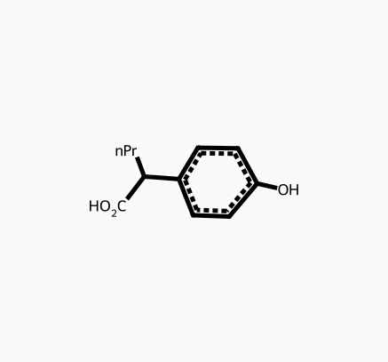 CCCC(C(=O)O)c1ccc(O)cc1